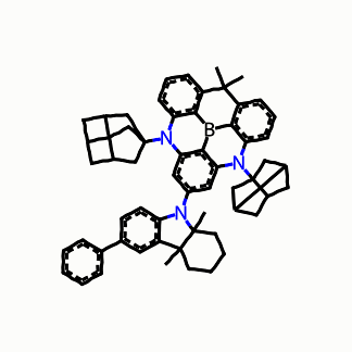 CC1(C)c2cccc3c2B2c4c(cc(N5c6ccc(-c7ccccc7)cc6C6(C)CCCCC56C)cc4N(C45CC6CC4CC6C5)c4cccc1c42)N3C12CC3CC4CC(C1)C43C2